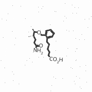 C[C@@H](CCC(N)=O)[C@@H](C)OCc1ccccc1CCCCCC(=O)O